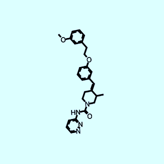 COc1cccc(CCOc2cccc(C=C3CCN(C(=O)Nc4cccnn4)CC3C)c2)c1